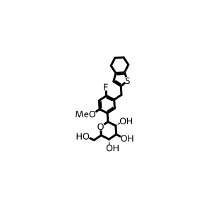 COc1cc(F)c(Cc2cc3c(s2)CCCC3)cc1C1OC(CO)[C@@H](O)C(O)[C@H]1O